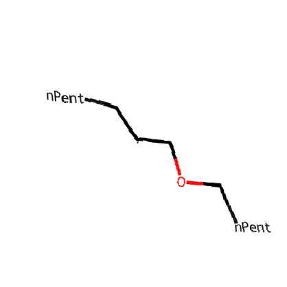 CCCCCC[CH]COCCCCCC